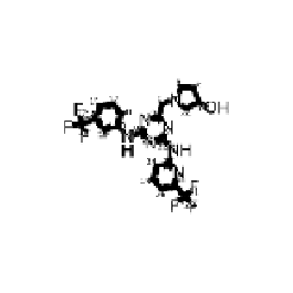 OC1CCN(Cc2nc(Nc3cccc(C(F)(F)F)c3)nc(Nc3cccc(C(F)(F)F)n3)n2)C1